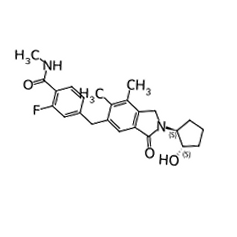 CNC(=O)c1ccc(Cc2cc3c(c(C)c2C)CN([C@H]2CCC[C@@H]2O)C3=O)cc1F